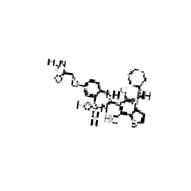 NC(=O)COc1ccc2c(c1)S(O)(O)N=C(c1c(O)c3sccc3n(NC3CCCCC3)c1=O)N2